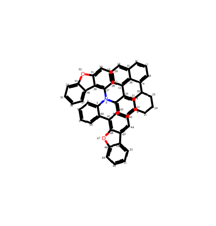 c1ccc(N(c2ccccc2-c2cccc3cccc(C4CCCCC4)c23)c2cccc3oc4ccccc4c23)c(-c2cccc3c2oc2ccccc23)c1